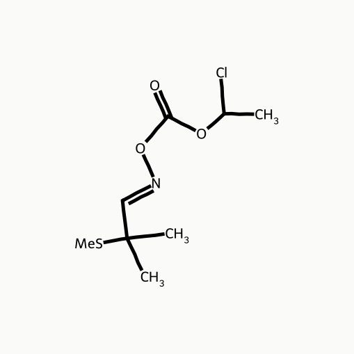 CSC(C)(C)C=NOC(=O)OC(C)Cl